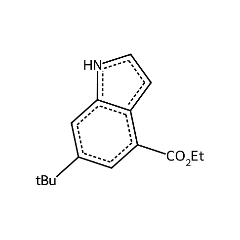 CCOC(=O)c1cc(C(C)(C)C)cc2[nH]ccc12